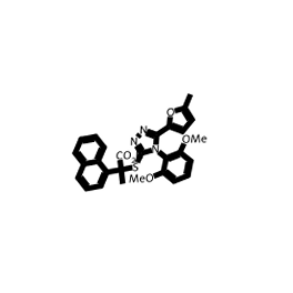 COc1cccc(OC)c1-n1c(SC(C)(C(=O)O)c2cccc3ccccc23)nnc1-c1ccc(C)o1